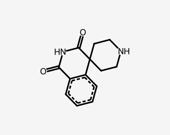 O=C1NC(=O)C2(CCNCC2)c2ccccc21